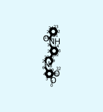 COc1ccc(CN2CC=C(c3cccc(CNC(=O)c4ccccc4)c3)CC2)cc1OC